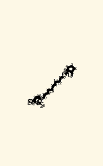 CC1CCCC1(C)C(=O)OCCCCCCCCCCCn1ccc(=S)[nH]c1=S